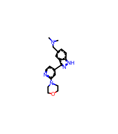 CN(C)Cc1ccc2[nH]nc(-c3ccnc(N4CCOCC4)c3)c2c1